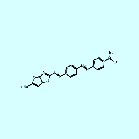 CCCCC1=CC2SC(/N=N/c3ccc(/N=N/c4ccc(N(CC)CC)cc4)cc3)=NC2S1